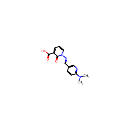 CN(C)c1ccc(C=Nn2cccc(C(=O)O)c2=O)cn1